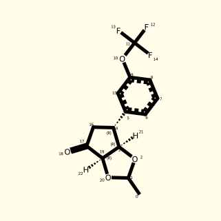 CC1O[C@@H]2[C@@H](c3cccc(OC(F)(F)F)c3)CC(=O)[C@@H]2O1